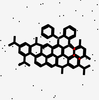 Cc1cc(C)c(B2c3ccccc3N(c3ccccc3)c3c2c(-c2c(C(C)C)cc(C(C)C)cc2C(C)C)c2ccc4ccc(-c5c(C(C)C)cc(C(C)C)cc5C(C)C)c5ccc3c2c45)c(C)c1